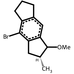 COC1c2cc3c(c(Br)c2C[C@H]1C)CCC3